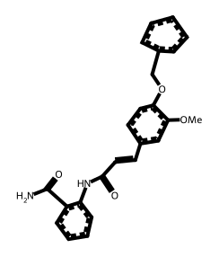 COc1cc(/C=C/C(=O)Nc2ccccc2C(N)=O)ccc1OCc1ccccc1